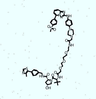 Cc1ncsc1-c1ccc(CNC(=O)[C@@H]2C[C@@H](O)CN2C(=O)[C@@H](NC(=O)COCCOCCOCCNC(=O)CN2CCN(c3ccc(Nc4nc5cccc(-c6ccc(S(C)(=O)=O)cc6)n5n4)cc3)CC2)C(C)(C)C)cc1